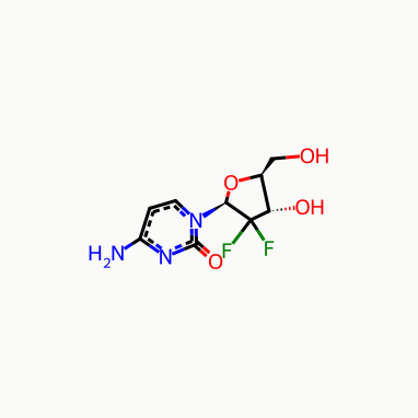 Nc1ccn([C@H]2O[C@@H](CO)[C@H](O)C2(F)F)c(=O)n1